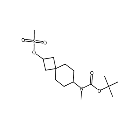 CN(C(=O)OC(C)(C)C)C1CCC2(CC1)CC(OS(C)(=O)=O)C2